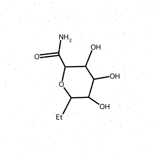 CCC1OC(C(N)=O)C(O)C(O)C1O